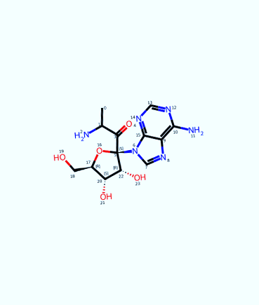 CC(N)C(=O)[C@@]1(n2cnc3c(N)ncnc32)O[C@H](CO)[C@@H](O)[C@H]1O